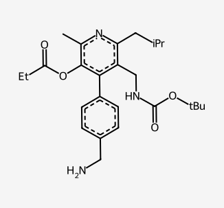 CCC(=O)Oc1c(C)nc(CC(C)C)c(CNC(=O)OC(C)(C)C)c1-c1ccc(CN)cc1